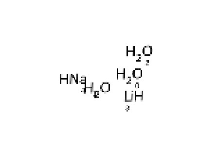 O.O.O.[LiH].[NaH]